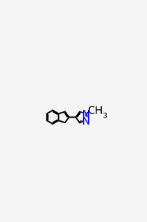 Cn1cc(C2=Cc3ccccc3C2)cn1